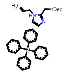 C=CC[NH+]1C=CN=C1CCCCCCCCCCC.c1ccc([B-](c2ccccc2)(c2ccccc2)c2ccccc2)cc1